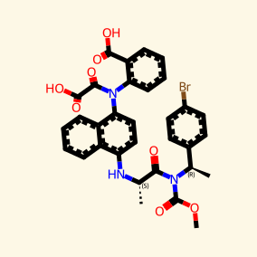 COC(=O)N(C(=O)[C@H](C)Nc1ccc(N(C(=O)C(=O)O)c2ccccc2C(=O)O)c2ccccc12)[C@H](C)c1ccc(Br)cc1